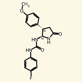 COc1ccc([C@@H]2CC(=O)N[C@H]2NC(=O)Nc2ccc(F)cc2)cc1